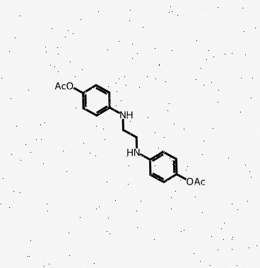 CC(=O)Oc1ccc(NCCNc2ccc(OC(C)=O)cc2)cc1